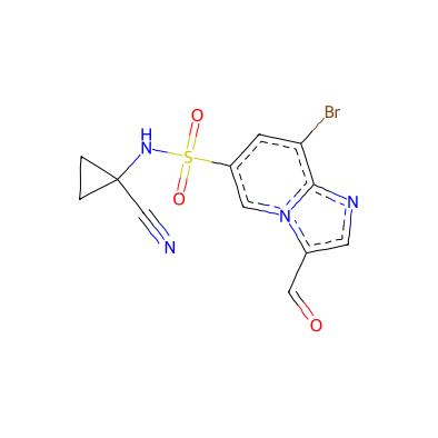 N#CC1(NS(=O)(=O)c2cc(Br)c3ncc(C=O)n3c2)CC1